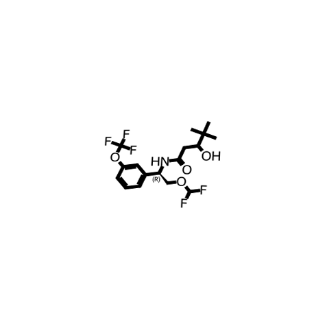 CC(C)(C)C(O)CC(=O)N[C@@H](COC(F)F)c1cccc(OC(F)(F)F)c1